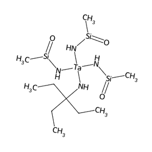 CCC(CC)(CC)[NH][Ta]([NH][Si](C)=O)([NH][Si](C)=O)[NH][Si](C)=O